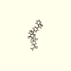 O=C(C1CC1)N1CCC(O)(Cn2cnc3c(cnn3-c3ccc(-c4cnn5ccccc45)cc3)c2=O)CC1